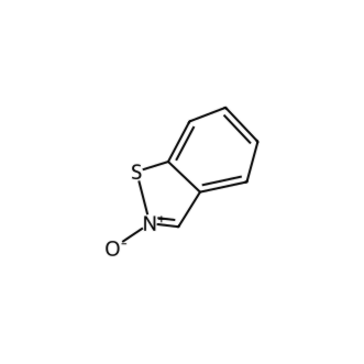 [O-][n+]1cc2ccccc2s1